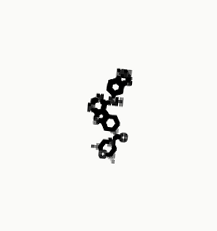 C[C@@H]1CN(C(=O)[C@H]2CCc3c(sc4ncnc(Nc5ccc6nnsc6c5)c34)C2)C[C@H](C)O1